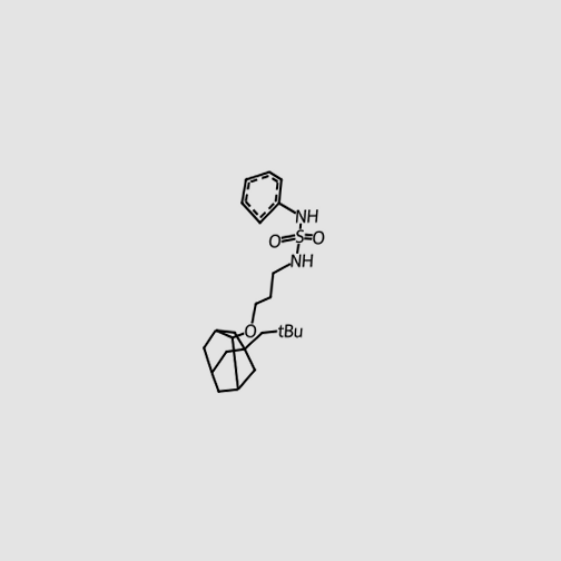 CC(C)(C)CC12CC3CC(C1)C(OCCCNS(=O)(=O)Nc1ccccc1)C(C3)C2